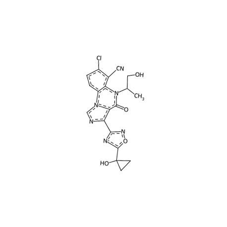 CC(CO)n1c(=O)c2c(-c3noc(C4(O)CC4)n3)ncn2c2ccc(Cl)c(C#N)c21